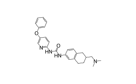 CN(C)CC1CCc2cc(NC(=O)Nc3ccc(Oc4ccccc4)cn3)ccc2C1